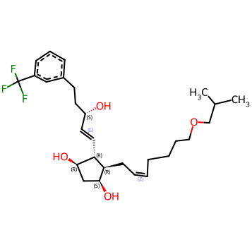 CC(C)COCCCC/C=C\C[C@@H]1[C@@H](/C=C/[C@@H](O)CCc2cccc(C(F)(F)F)c2)[C@H](O)C[C@@H]1O